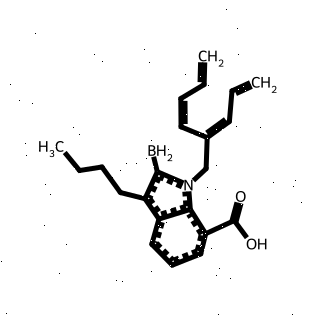 Bc1c(CCCC)c2cccc(C(=O)O)c2n1CC(/C=C\C=C)=C/C=C